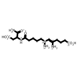 NC(=O)C(CC(=O)O)NC(=O)CCCCN(N)/C=C(\N)CCCC(=O)O